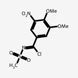 COc1cc(C(Cl)=NS(C)(=O)=O)cc([N+](=O)[O-])c1OC